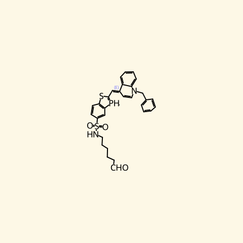 C[PH]1=C(/C=C2\C=CN(Cc3ccccc3)c3ccccc32)Sc2ccc(S(=O)(=O)NCCCCCC=O)cc21